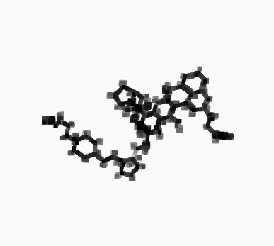 CCc1cccc2cc(OCOC)cc(-c3ncc4c(N5CC6CCC(C5)N6C(=O)OC(C)(C)C)nc(OC[C@@H]5CCCN5CCC5CCN(CCC(=O)O)CC5)nc4c3F)c12